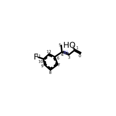 C=C(O)/C=C(\C)c1cccc(F)c1